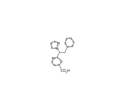 O=C(O)c1ccnc(C(Cc2ccccc2)n2cccn2)c1